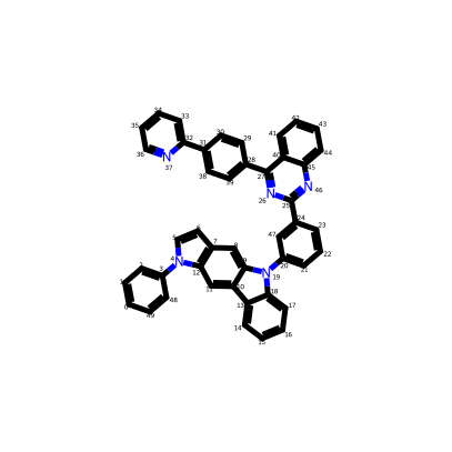 c1ccc(-n2ccc3cc4c(cc32)c2ccccc2n4-c2cccc(-c3nc(-c4ccc(-c5ccccn5)cc4)c4ccccc4n3)c2)cc1